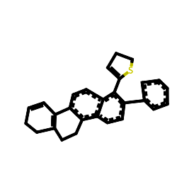 C1=CC2=C(CC1)CCc1c2ccc2c(C3=CCCS3)c(-c3ccccc3)ccc12